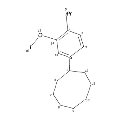 CC(C)c1ccc(C2CCCCCCC2)cc1OI